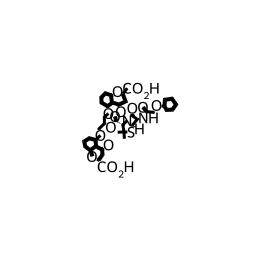 CC1(C)S[C@@H]2[C@H](NC(=O)COc3ccccc3)C(=O)N2[C@H]1C(=O)OC(COc1cccc2oc(C(=O)O)cc(=O)c12)COc1cccc2oc(C(=O)O)cc(=O)c12